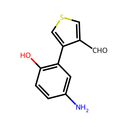 Nc1ccc(O)c(-c2cscc2C=O)c1